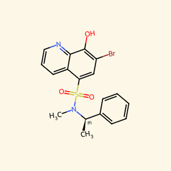 C[C@H](c1ccccc1)N(C)S(=O)(=O)c1cc(Br)c(O)c2ncccc12